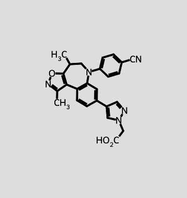 Cc1noc2c1-c1ccc(-c3cnn(CC(=O)O)c3)cc1N(c1ccc(C#N)cc1)CC2C